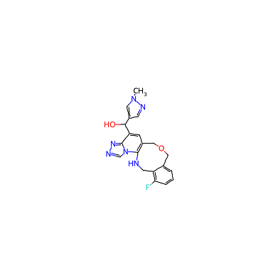 Cn1cc(C(O)c2cc3c(n4cnnc24)NCc2c(F)cccc2COC3)cn1